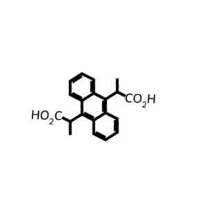 CC(C(=O)O)c1c2ccccc2c(C(C)C(=O)O)c2ccccc12